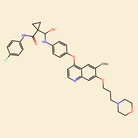 COc1cc2c(Oc3ccc(NC(O)C4(C(=O)Nc5ccc(F)cc5)CC4)cc3)ccnc2cc1OCCCN1CCOCC1